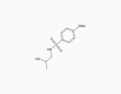 COc1ccc(S(=O)(=O)NCC(C)O)cc1